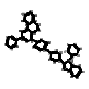 c1ccc(-c2cc(-c3ccc(-c4ccc(-c5nc6ccccc6n5-c5ccccc5)cc4)cc3)c3ccc4ccccc4c3c2)cc1